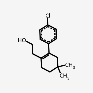 CC1(C)CCC(CCO)=C(c2ccc(Cl)cc2)C1